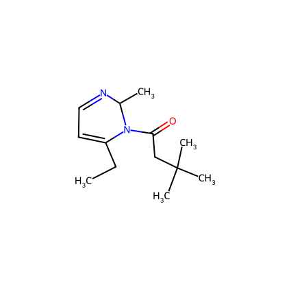 CCC1=CC=NC(C)N1C(=O)CC(C)(C)C